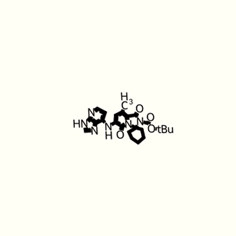 Cc1cc(Nc2ccnc3[nH]cnc23)c(=O)n2c1C(=O)N(C(=O)OC(C)(C)C)C21CCCCC1